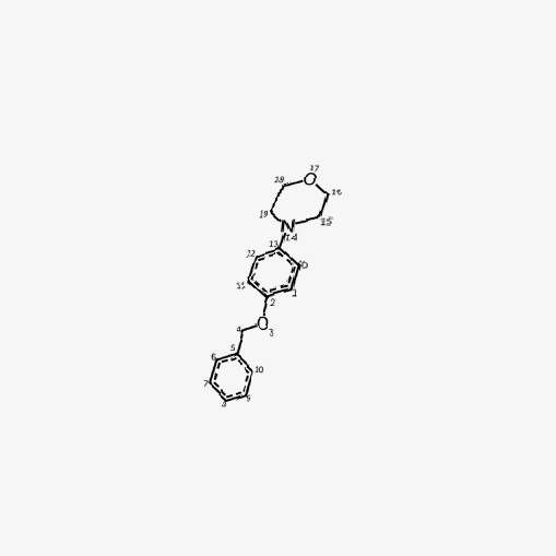 [c]1cc(OCc2ccccc2)ccc1N1CCOCC1